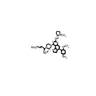 COC/C=C/C(=O)N1CCN(c2nc(OC[C@@H]3CCCN3C)nc3cc(-c4cc(N)ccc4OC(F)(F)F)c4ccoc4c23)C[C@@H]1CC#N